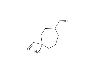 CC1(C=O)CCCC(C=O)CC1